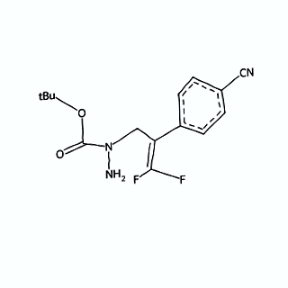 CC(C)(C)OC(=O)N(N)CC(=C(F)F)c1ccc(C#N)cc1